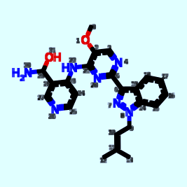 COc1cnc(-c2nn(CC=C(C)C)c3ccccc23)nc1Nc1ccncc1C(N)O